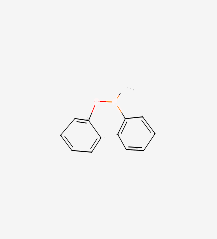 COP(Oc1ccccc1)c1ccccc1